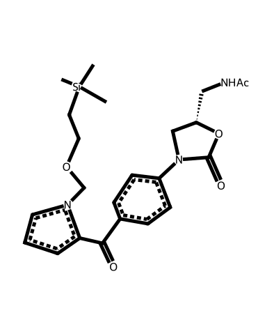 CC(=O)NC[C@H]1CN(c2ccc(C(=O)c3cccn3COCC[Si](C)(C)C)cc2)C(=O)O1